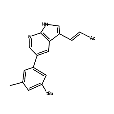 CC(=O)/C=C/c1c[nH]c2ncc(-c3cc(C)cc(C(C)(C)C)c3)cc12